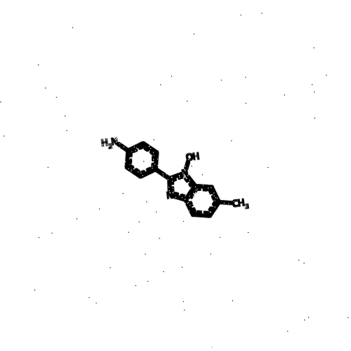 Cc1ccc2nc(-c3ccc(N)cc3)n(O)c2c1